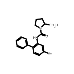 CCc1ccc(-c2ccccc2)c(NC(=O)N2CCCC2C(=O)O)c1